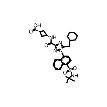 CC(C)(C)NS(=O)(=O)c1ccc(-n2nc(C(=O)N[C@H]3C[C@H](C(=O)O)C3)nc2CC2CCCCC2)c2ccccc12